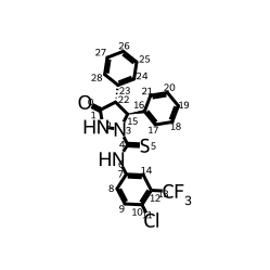 O=C1NN(C(=S)Nc2ccc(Cl)c(C(F)(F)F)c2)[C@H](c2ccccc2)[C@H]1c1ccccc1